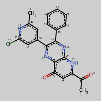 CC(=O)c1cc(=O)c2nc(-c3cc(C)nc(Cl)c3)c(-c3ccccc3)nc2[nH]1